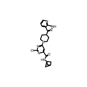 O=C(NC12CC(C1)C2)c1cc(N2CCC(c3n[nH]c4ncccc34)CC2)nc(Cl)n1